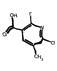 Cc1cc(C(=O)O)c(F)nc1Cl